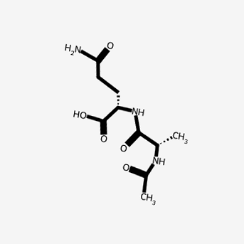 CC(=O)N[C@@H](C)C(=O)N[C@@H](CCC(N)=O)C(=O)O